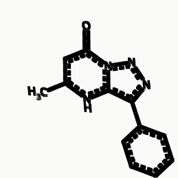 Cc1cc(=O)n2nnc(-c3ccccc3)c2[nH]1